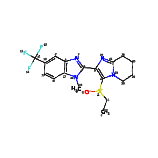 CC[S+]([O-])c1c(-c2nc3cc(C(F)(F)F)ccc3n2C)nc2n1CCCC2